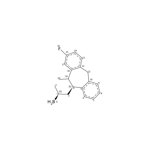 B[C@@H](C)C[C@@H]1c2ccccc2Cc2ccc(F)cc2C1C